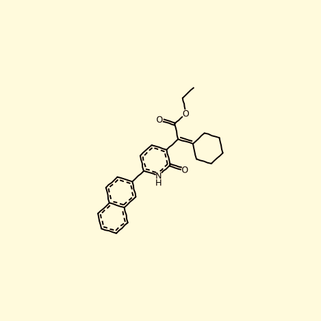 CCOC(=O)C(=C1CCCCC1)c1ccc(-c2ccc3ccccc3c2)[nH]c1=O